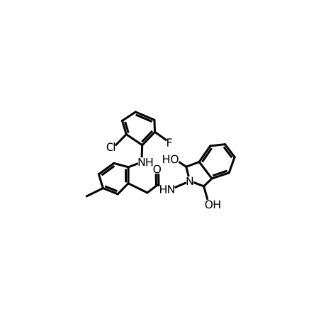 Cc1ccc(Nc2c(F)cccc2Cl)c(CC(=O)NN2C(O)c3ccccc3C2O)c1